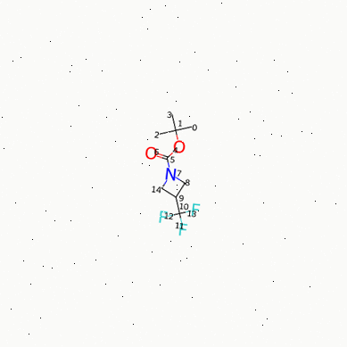 CC(C)(C)OC(=O)N1CC(C(F)(F)F)C1